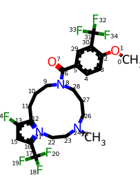 COc1ccc(C(=O)N2CCCc3c(F)cc(C(F)(F)F)n3CCN(C)CCC2)cc1C(F)(F)F